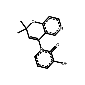 CC1(C)C=C(n2cccc(O)c2=O)c2cnccc2O1